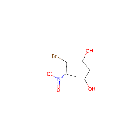 CC(CBr)[N+](=O)[O-].OCCCO